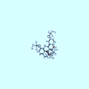 CCC(C)(C)Oc1ccc2ccc(OC(C)(C)CC)c(Cc3c(OC(C)(C)CC)ccc4ccc(OC(C)(C)CC)cc34)c2c1